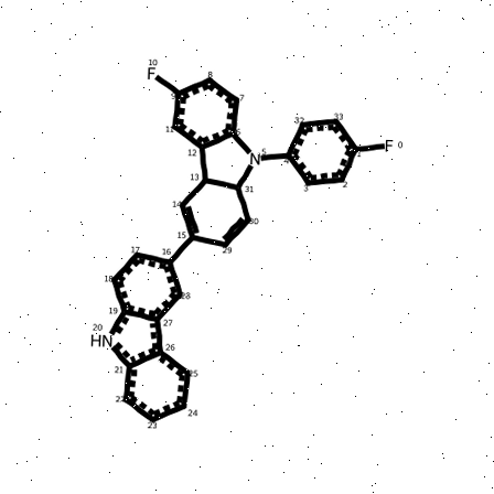 Fc1ccc(N2c3ccc(F)cc3C3C=C(c4ccc5[nH]c6ccccc6c5c4)C=CC32)cc1